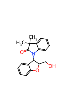 CC1(C)C(=O)N(C2c3ccccc3OC2CO)c2ccccc21